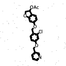 CC(=O)OC1COc2cc(OCc3ccc(OCc4cccnc4)cc3Cl)ccc21